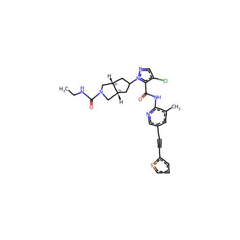 CCNC(=O)N1C[C@H]2CC(n3ncc(Cl)c3C(=O)Nc3ncc(C#Cc4cccs4)cc3C)C[C@H]2C1